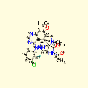 COc1cc2ncnc(Nc3cccc(Cl)c3F)c2cc1CN(C)C1(C(=O)NC(C)=O)CCNCC1